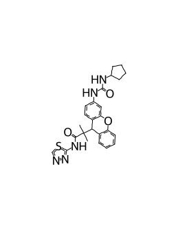 CC(C)(C(=O)Nc1nncs1)C1c2ccccc2Oc2cc(NC(=O)NC3CCCC3)ccc21